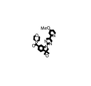 COc1ccnc(-c2cnc(N3CC4(COC4)c4ccc(C(=O)N5CCOCC5)cc43)nc2)c1